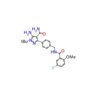 COc1ccc(F)cc1C(=O)NCc1ccc(-c2nn(C(C)(C)C)c(N)c2C(N)=O)cc1